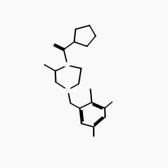 Cc1c(N)cc(Cl)cc1CN1CCN(C(=O)C2CCCC2)C(C)C1